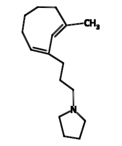 C/C1=C\C(CCCN2CCCC2)=C/CCCC1